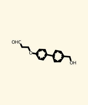 O=CCCOc1ccc(-c2ccc(CO)cc2)cc1